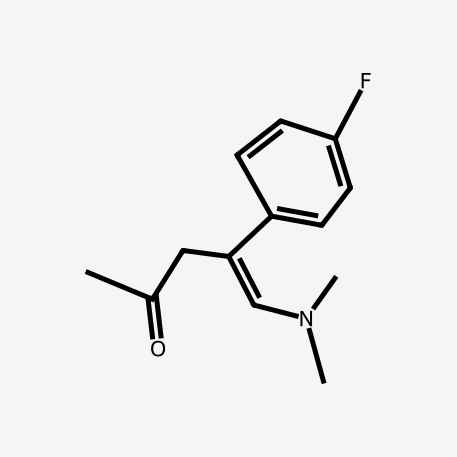 CC(=O)CC(=CN(C)C)c1ccc(F)cc1